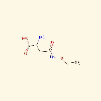 CCONC(=O)CC(N)C(=O)O